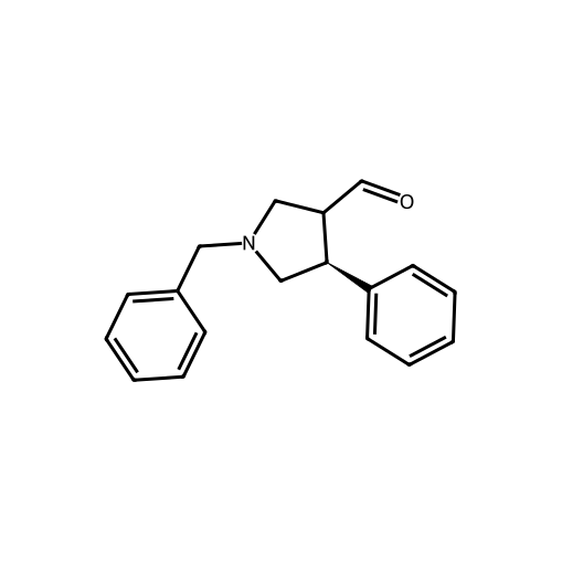 O=CC1CN(Cc2ccccc2)C[C@@H]1c1ccccc1